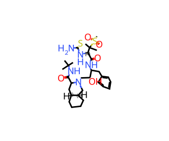 CC(C)(C)NC(=O)C1C[C@@H]2CCCC[C@@H]2CN1CC(O)C(Cc1ccccc1)NC(=O)[C@@H](NC(N)=S)C(C)(C)S(C)(=O)=O